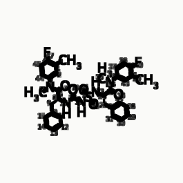 Cc1cc(N(C)C(=O)[C@H](Cc2ccccc2)NC(=O)NS(=O)(=O)N[C@@H](Cc2ccccc2)C(=O)N(C)c2ccc(F)c(C)c2)ccc1F